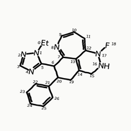 CCn1ncnc1C1C2=NC=CC=C3C2=C(CNN3F)CC1c1ccccc1